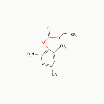 Cc1cc([N+](=O)[O-])cc([N+](=O)[O-])c1OC(=O)OCC(F)(F)F